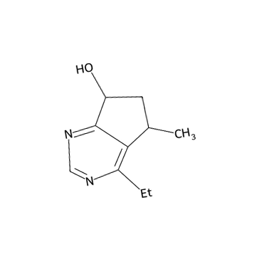 CCc1ncnc2c1C(C)CC2O